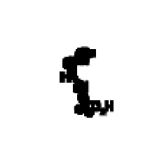 CN(CCN1CCC(N(C(=O)O)c2ccccc2-c2ccccc2)CC1)C(=O)CCCNc1ccc(C(=O)N(C)CCCN(C)C(=O)OC(C)(C)C)cc1